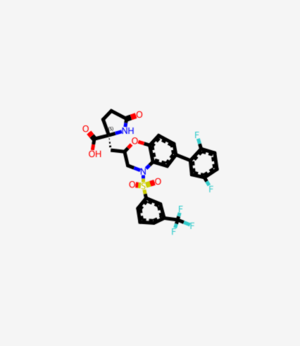 O=C1CC[C@](CC2CN(S(=O)(=O)c3cccc(C(F)(F)F)c3)c3cc(-c4cc(F)ccc4F)ccc3O2)(C(=O)O)N1